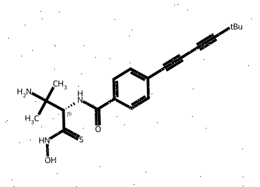 CC(C)(C)C#CC#Cc1ccc(C(=O)N[C@H](C(=S)NO)C(C)(C)N)cc1